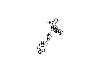 COC(=O)C(c1cc(OCCN2CCN(CCOc3cc(N4C5CCC4CN(c4cc(-c6ccccc6O)nnc4N)C5)ccn3)[C@H](C)C2)no1)C(C)C